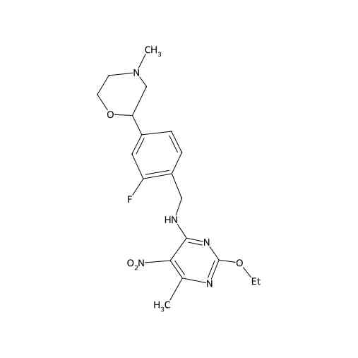 CCOc1nc(C)c([N+](=O)[O-])c(NCc2ccc(C3CN(C)CCO3)cc2F)n1